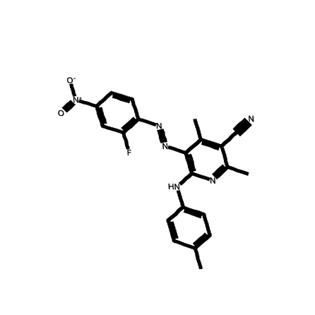 Cc1ccc(Nc2nc(C)c(C#N)c(C)c2N=Nc2ccc([N+](=O)[O-])cc2F)cc1